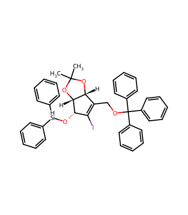 CC1(C)O[C@@H]2[C@H](O1)C(COC(c1ccccc1)(c1ccccc1)c1ccccc1)=C(I)[C@@H]2O[SiH](c1ccccc1)c1ccccc1